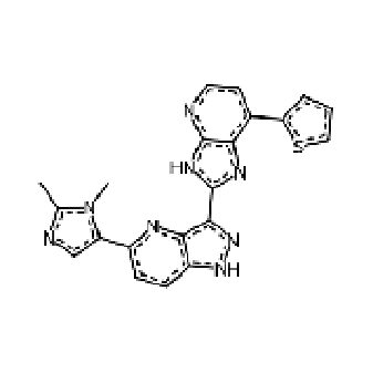 Cc1ncc(-c2ccc3[nH]nc(-c4nc5c(-c6cccs6)ccnc5[nH]4)c3n2)n1C